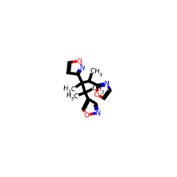 CC(c1ncco1)C(C)(c1ccon1)C(C)(C)c1cnoc1